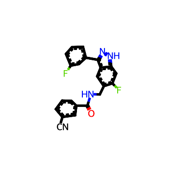 N#Cc1cccc(C(=O)NCc2cc3c(-c4cccc(F)c4)n[nH]c3cc2F)c1